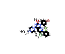 Cc1cc(Br)cc(C(C)C)c1-n1c(=O)nc(N2CCN(C(=O)O)CC2C)c2cc(Cl)c(-c3ccccc3F)nc21